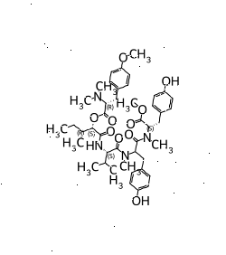 CC[C@@H](C)[C@H](OC(=O)[C@@H](Cc1ccc(OC)cc1)N(C)C)C(=O)N[C@H](C(=O)N(C)C(Cc1ccc(O)cc1)C(=O)N(C)[C@@H](Cc1ccc(O)cc1)C(=O)OC)C(C)C